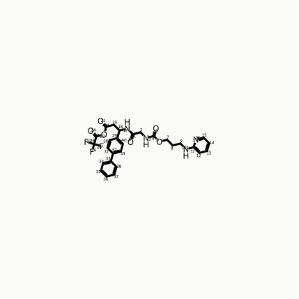 O=C(CNC(=O)OCCCNc1ccccn1)NC(CC(=O)OC(=O)C(F)(F)F)c1ccc(-c2ccccc2)cc1